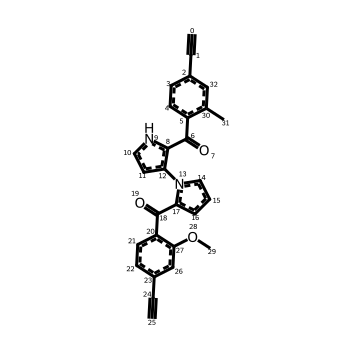 C#Cc1ccc(C(=O)c2[nH]ccc2-n2cccc2C(=O)c2ccc(C#C)cc2OC)c(C)c1